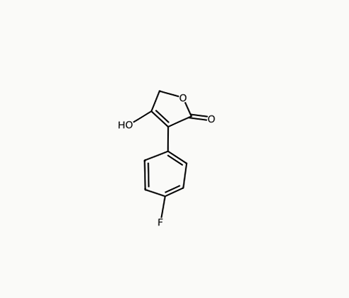 O=C1OCC(O)=C1c1ccc(F)cc1